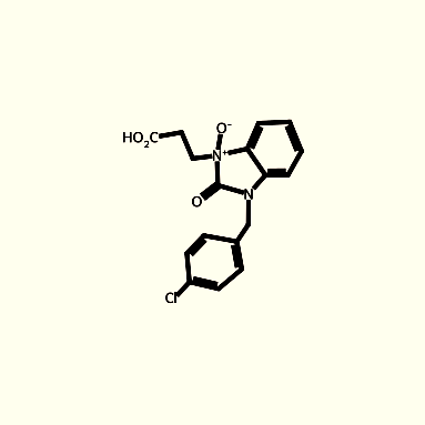 O=C(O)CC[N+]1([O-])C(=O)N(Cc2ccc(Cl)cc2)c2ccccc21